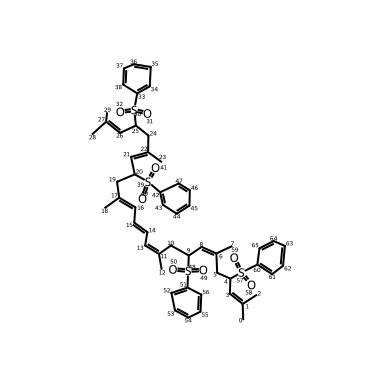 CC(C)=CC(CC(C)=CC(CC(C)=CC=CC=C(C)CC(C=C(C)CC(C=C(C)C)S(=O)(=O)c1ccccc1)S(=O)(=O)c1ccccc1)S(=O)(=O)c1ccccc1)S(=O)(=O)c1ccccc1